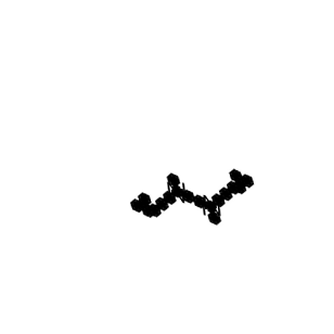 c1ccc(-c2nc(-c3ccc(-c4ccc(-c5ccc6c(ccc7c8ccccc8c8ccccc8c67)c5)cc4)cc3)nc(-c3ccc(-c4ccc(-c5nc(-c6ccccc6)nc(-c6ccc(-c7ccc(-c8ccc9ccc%10c%11ccccc%11c%11ccccc%11c%10c9c8)cc7)cc6)n5)cc4)cc3)n2)cc1